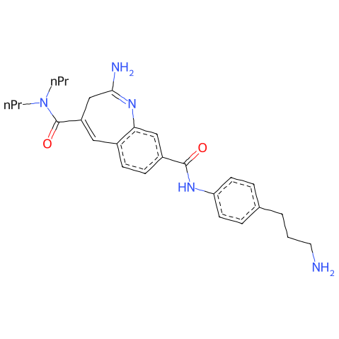 CCCN(CCC)C(=O)C1=Cc2ccc(C(=O)Nc3ccc(CCCN)cc3)cc2N=C(N)C1